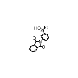 CC[C@H](O)c1cccc(N2C(=O)c3ccccc3C2=O)c1